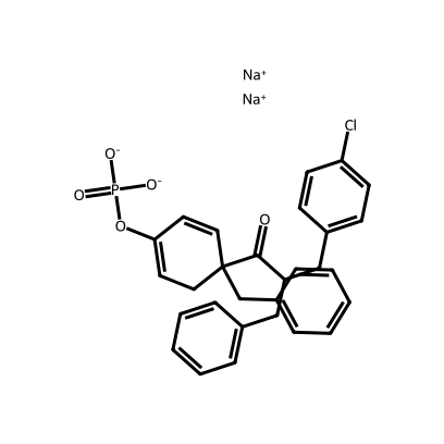 O=C(C(Cc1ccccc1)Cc1ccc(Cl)cc1)C1(Cc2ccccc2)C=CC(OP(=O)([O-])[O-])=CC1.[Na+].[Na+]